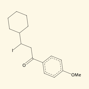 COc1ccc(C(=O)CC(I)C2CCCCC2)cc1